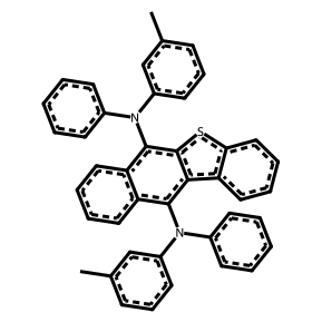 Cc1cccc(N(c2ccccc2)c2c3ccccc3c(N(c3ccccc3)c3cccc(C)c3)c3c2sc2ccccc23)c1